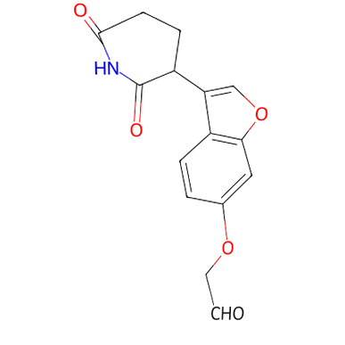 O=CCOc1ccc2c(C3CCC(=O)NC3=O)coc2c1